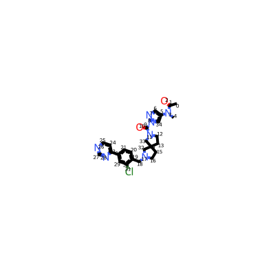 CC(=O)N(C)c1cnn(C(=O)N2CCC3(CCN(Cc4ccc(-c5ccncn5)cc4Cl)C3)C2)c1